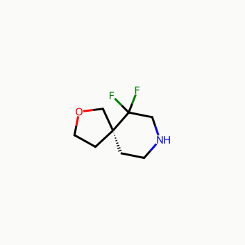 FC1(F)CNCC[C@@]12CCOC2